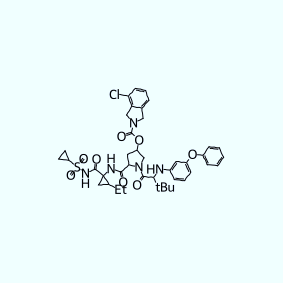 CCC1CC1(NC(=O)C1CC(OC(=O)N2Cc3cccc(Cl)c3C2)CN1C(=O)C(Nc1cccc(Oc2ccccc2)c1)C(C)(C)C)C(=O)NS(=O)(=O)C1CC1